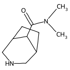 CN(C)C(=O)C1C2CCC1CNC2